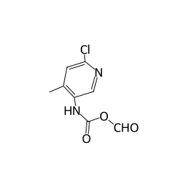 Cc1cc(Cl)ncc1NC(=O)OC=O